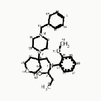 CCC(O)N(CC1(N2CCN(CC3C=CC=CC3)CC2)CCOCC1)c1ccccc1OC